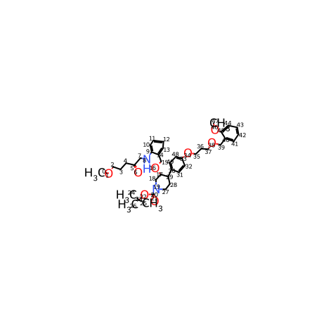 COCCCC(=O)CNc1ccccc1COC1CN(C(=O)OC(C)(C)C)CCC1c1ccc(OCCCOCc2ccccc2OC)cc1